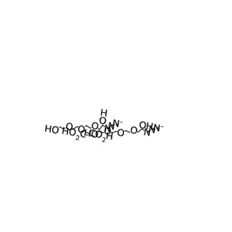 O=C(O)CC(=O)O.[N-]=[N+]=NC(O)COCCOCCOCCO.[N-]=[N+]=NC(O)COCCOCCOCCO